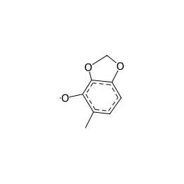 Cc1ccc2c(c1[O])OCO2